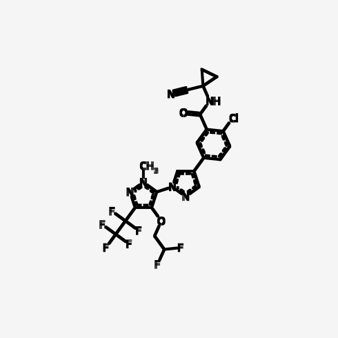 Cn1nc(C(F)(F)C(F)(F)F)c(OCC(F)F)c1-n1cc(-c2ccc(Cl)c(C(=O)NC3(C#N)CC3)c2)cn1